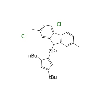 CCCCC1C=C(C(C)(C)C)C=[C]1[Zr+2][CH]1c2cc(C)ccc2-c2ccc(C)cc21.[Cl-].[Cl-]